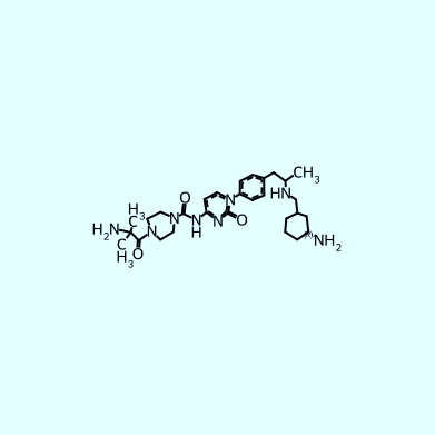 CC(Cc1ccc(-n2ccc(NC(=O)N3CCN(C(=O)C(C)(C)N)CC3)nc2=O)cc1)NCC1CCC[C@@H](N)C1